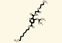 CCCCCCCCOC(=O)c1cnc(C(=O)NCC(=O)OCCCC)c(OC(C)C)c1